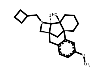 COc1ccc2c(c1)[C@@]13CCCC[C@@]1(O)[C@@H]1N(CC4CCC4)C[C@]1(C2)C3